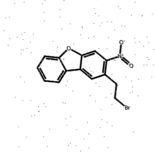 O=[N+]([O-])c1cc2oc3ccccc3c2cc1CCBr